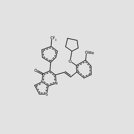 COc1cccc(C=Cc2nc3sccn3c(=O)c2-c2ccc(C(F)(F)F)cc2)c1OC1CCCC1